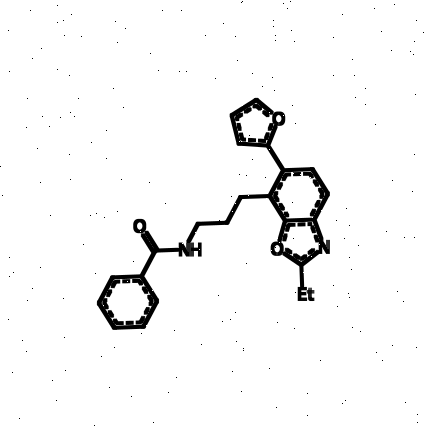 CCc1nc2ccc(-c3ccco3)c(CCCNC(=O)c3ccccc3)c2o1